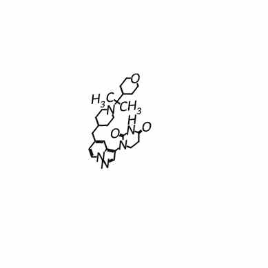 CC(C)(C1CCOCC1)N1CCC(Cc2ccn3ncc(N4CCC(=O)NC4=O)c3c2)CC1